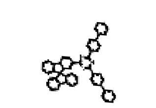 C1=CC2c3ccccc3C3(c4ccccc4-c4ccccc43)C2C=C1c1nc(-c2ccc(-c3ccccc3)cc2)nc(-c2ccc(-c3ccccc3)cc2)n1